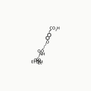 CCO[Si](CCCNC(=O)OCCCCCOc1ccc2cc(/C=C/C(=O)O)ccc2c1)(OCC)OCC